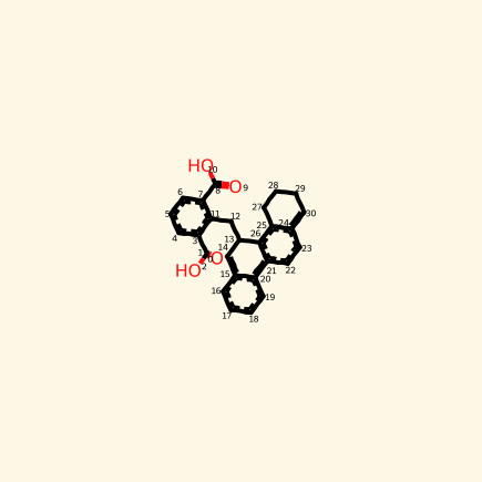 O=C(O)c1cccc(C(=O)O)c1CC1C=c2ccccc2=c2ccc3c(c21)CCCC=3